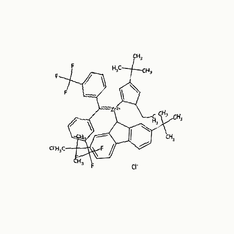 CCC1C=C(C(C)(C)C)C=[C]1[Zr+2](=[C](c1cccc(C(F)(F)F)c1)c1cccc(C(F)(F)F)c1)[CH]1c2cc(C(C)(C)C)ccc2-c2ccc(C(C)(C)C)cc21.[Cl-].[Cl-]